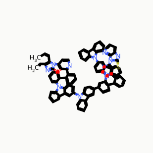 C=Cc1nc2oc3c(-c4ccccc4-c4ccccc4-n4c5ccccc5c5cc(-n6c7ccccc7c7cc(-c8ccc(-c9ccccc9-c9ncnc%10c9sc9nc%11cccnc%11n9%10)c(-n9c%10ccccc%10c%10cc(-n%11c%12ccccc%12c%12ccccc%12%11)ccc%109)c8)ccc76)ccc54)nccc3n2c1/C=C\C